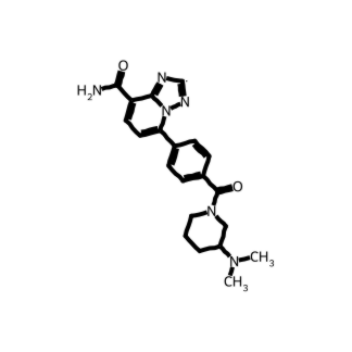 CN(C)C1CCCN(C(=O)c2ccc(-c3ccc(C(N)=O)c4n[c]nn34)cc2)C1